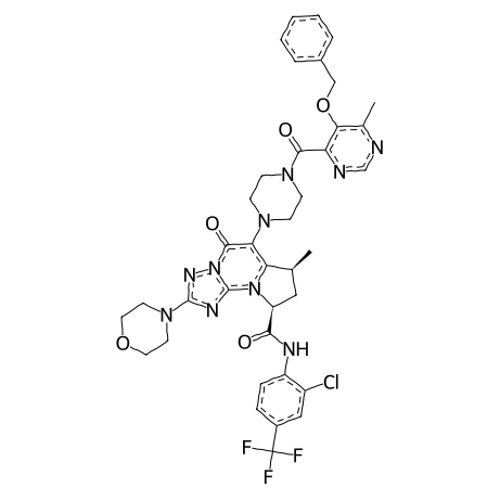 Cc1ncnc(C(=O)N2CCN(c3c4n(c5nc(N6CCOCC6)nn5c3=O)[C@H](C(=O)Nc3ccc(C(F)(F)F)cc3Cl)C[C@@H]4C)CC2)c1OCc1ccccc1